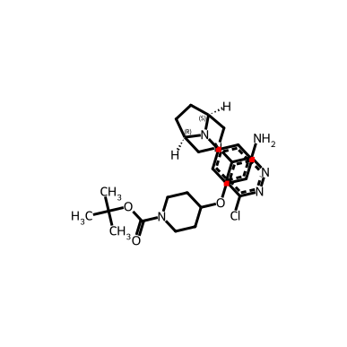 CC(C)(C)OC(=O)N1CCC(Oc2cccc(N3[C@@H]4CC[C@H]3CN(c3cc(Cl)nnc3N)C4)c2)CC1